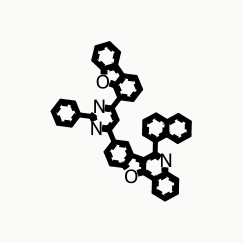 c1ccc(-c2nc(-c3ccc4oc5c6ccccc6nc(-c6cccc7ccccc67)c5c4c3)cc(-c3cccc4c3oc3ccccc34)n2)cc1